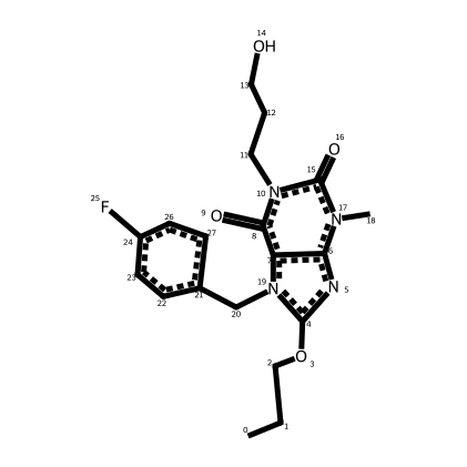 CCCOc1nc2c(c(=O)n(CCCO)c(=O)n2C)n1Cc1ccc(F)cc1